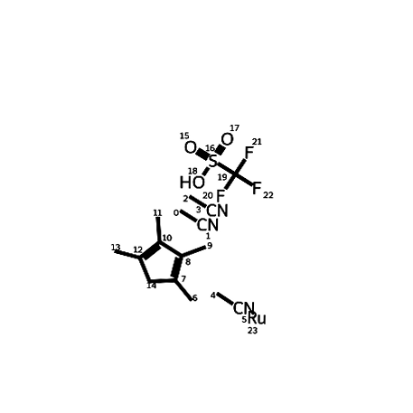 CC#N.CC#N.CC#N.CC1=C(C)C(C)=C(C)C1.O=S(=O)(O)C(F)(F)F.[Ru]